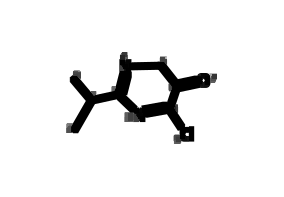 CC(C)C1=NCC(=O)C(Cl)=N1